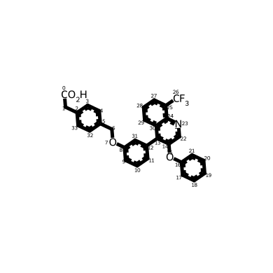 O=C(O)Cc1ccc(COc2cccc(-c3c(Oc4ccccc4)cnc4c(C(F)(F)F)cccc34)c2)cc1